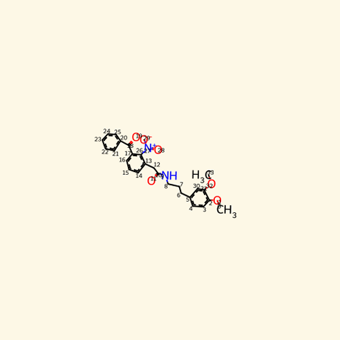 COc1ccc(CCCNC(=O)Cc2cccc(C(=O)c3ccccc3)c2[N+](=O)[O-])cc1OC